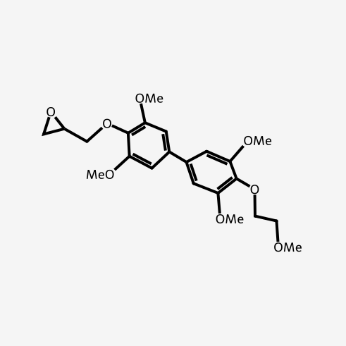 COCCOc1c(OC)cc(-c2cc(OC)c(OCC3CO3)c(OC)c2)cc1OC